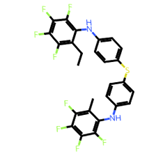 CCc1c(F)c(F)c(F)c(F)c1Nc1ccc(Sc2ccc(Nc3c(C)c(F)c(F)c(F)c3F)cc2)cc1